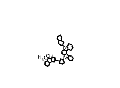 CC1(C)c2ccccc2-c2cc(-c3cccc(-n4c5ccccc5c5c6c7ccccc7n(-c7ccc8ccccc8c7)c6ccc54)c3)ccc21